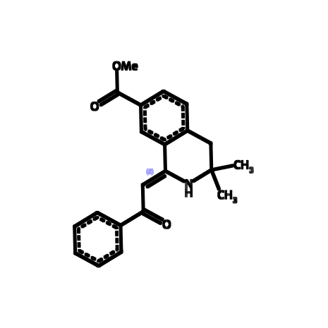 COC(=O)c1ccc2c(c1)/C(=C/C(=O)c1ccccc1)NC(C)(C)C2